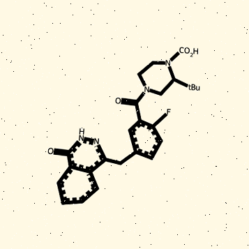 CC(C)(C)C1CN(C(=O)c2cc(Cc3n[nH]c(=O)c4ccccc34)ccc2F)CCN1C(=O)O